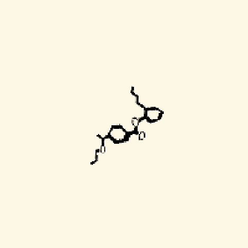 CCCCc1ccccc1OC(=O)c1ccc(C(C)OCCC)cc1